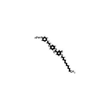 C=CCCCCCCCCCCOc1ccc(C(=O)Oc2ccc(OCCC[C@H]3CC[C@H](CCCCC)CC3)cc2)cc1F